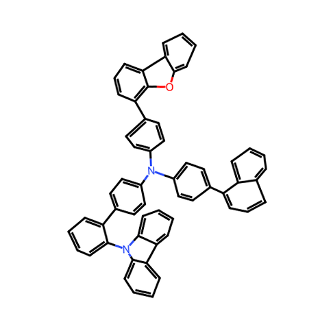 c1ccc(-n2c3ccccc3c3ccccc32)c(-c2ccc(N(c3ccc(-c4cccc5ccccc45)cc3)c3ccc(-c4cccc5c4oc4ccccc45)cc3)cc2)c1